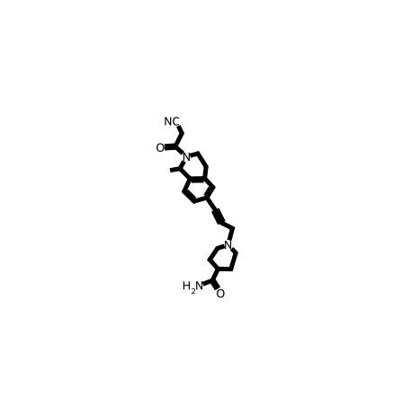 CC1c2ccc(C#CCN3CCC(C(N)=O)CC3)cc2CCN1C(=O)CC#N